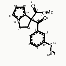 COC(=O)C1(C(=O)c2cccc(SC(C)C)c2)CCn2cccc21